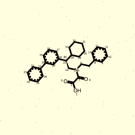 O=C(O)C(=O)N(CCc1ccccc1)C[C@@H](c1cccc(-c2ccccc2)c1)C1CCCCC1